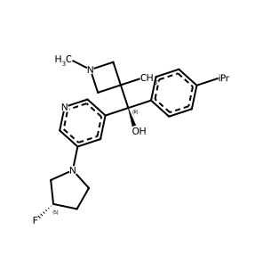 CC(C)c1ccc([C@](O)(c2cncc(N3CC[C@H](F)C3)c2)C2(C)CN(C)C2)cc1